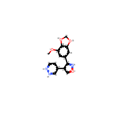 COc1cc(-c2nocc2-c2ccnnc2)cc2c1OCO2